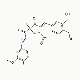 COc1cc(/C=C/C(=O)C(C)(CCC(C)=O)C(=O)/C=C/c2ccc(CO)c(CO)c2)ccc1C